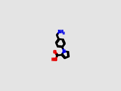 NCc1ccc(-n2cccc2C(=O)O)cc1